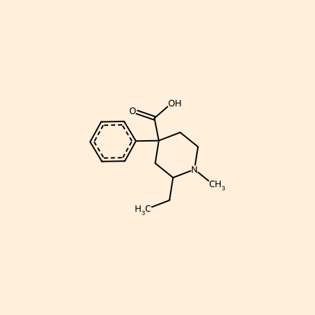 CCC1CC(C(=O)O)(c2ccccc2)CCN1C